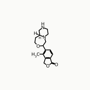 Cc1c(C2CN3CCNC[C@H]3CCO2)ccc2c1COC2=O